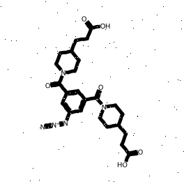 [N-]=[N+]=Nc1cc(C(=O)N2CCC(CCC(=O)O)CC2)cc(C(=O)N2CCC(CCC(=O)O)CC2)c1